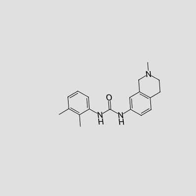 Cc1cccc(NC(=O)Nc2ccc3c(c2)CN(C)CC3)c1C